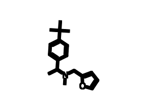 CC(c1ccc(C(C)(C)C)cc1)N(C)Cc1ccco1